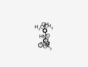 CC1CCCCN1c1cc(NC(=O)c2ccc(C(C)(C)O)cc2)nc2ccnn12